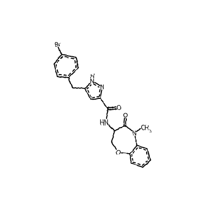 CN1C(=O)C(NC(=O)c2cc(Cc3ccc(Br)cc3)[nH]n2)COc2ccccc21